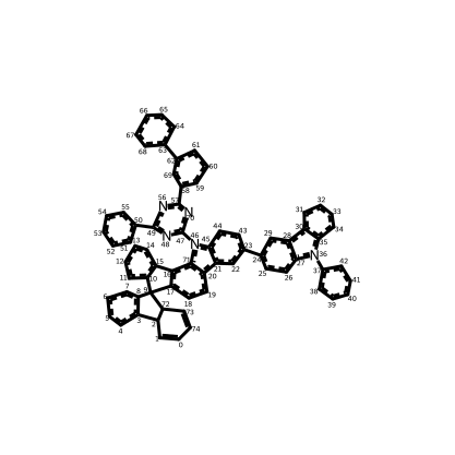 C1=CC2c3ccccc3C3(c4ccccc4-c4c3ccc3c5cc(-c6ccc7c(c6)c6ccccc6n7-c6ccccc6)ccc5n(-c5nc(-c6ccccc6)nc(-c6cccc(-c7ccccc7)c6)n5)c43)C2C=C1